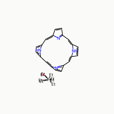 C1=Cc2cc3ccc(cc4nc(cc5ccc(cc1n2)[nH]5)C=C4)[nH]3.C[CH2][Fe]([CH2]C)([CH2]C)([CH2]C)([CH2]C)([CH2]C)([CH2]C)[CH2]C